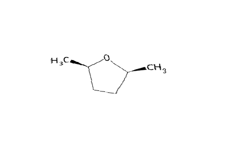 C[C@@H]1CC[C@H](C)O1